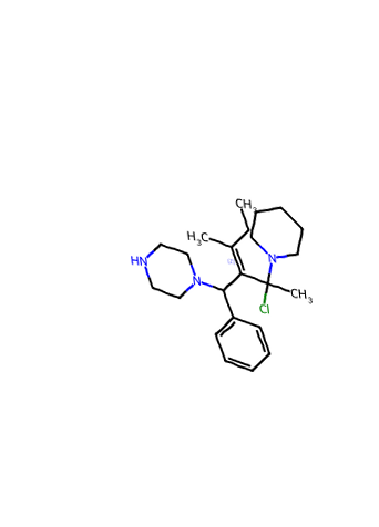 CC/C(C)=C(/C(c1ccccc1)N1CCNCC1)C(C)(Cl)N1CCCCC1